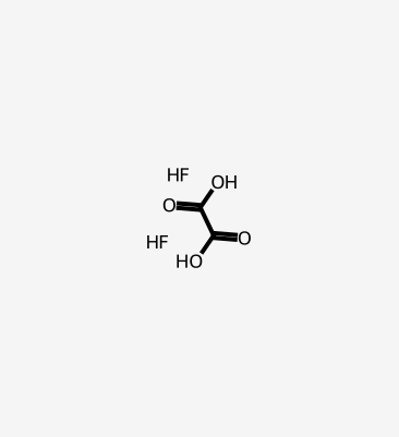 F.F.O=C(O)C(=O)O